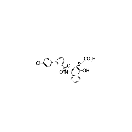 O=C(O)CSc1cc(NS(=O)(=O)c2cccc(-c3ccc(Cl)cc3)c2)c2ccccc2c1O